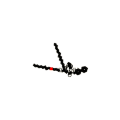 CCCCCCCCCCCCCCOCC(CNC(=O)[C@@H](Cc1ccc(-c2ccccc2)cc1)NC(=O)OC(C)(C)C)OCCCCCCCCCCCCCC